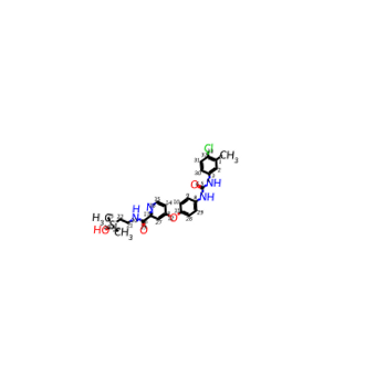 Cc1cc(NC(=O)Nc2ccc(Oc3ccnc(C(=O)NCC[Si](C)(C)O)c3)cc2)ccc1Cl